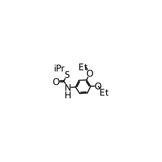 CCOc1ccc(NC(=O)SC(C)C)cc1OCC